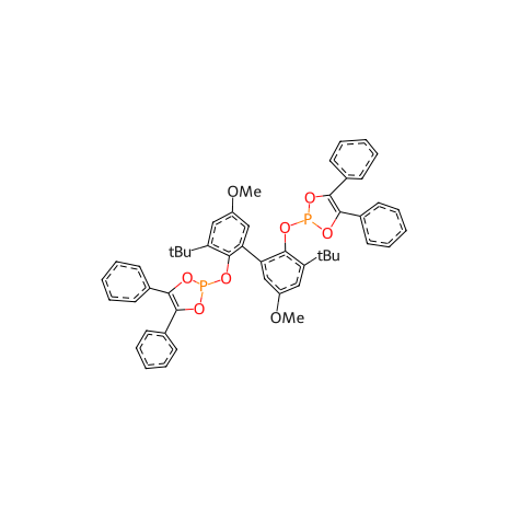 COc1cc(-c2cc(OC)cc(C(C)(C)C)c2OP2OC(c3ccccc3)=C(c3ccccc3)O2)c(OP2OC(c3ccccc3)=C(c3ccccc3)O2)c(C(C)(C)C)c1